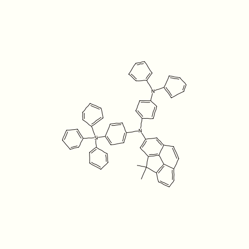 CC1(C)c2cccc3ccc4cc(N(c5ccc(N(c6ccccc6)c6ccccc6)cc5)c5ccc([Si](c6ccccc6)(c6ccccc6)c6ccccc6)cc5)cc1c4c23